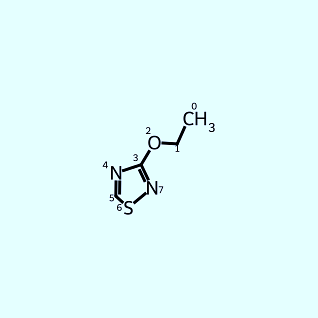 CCOc1ncsn1